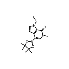 Cn1cc(B2OC(C)(C)C(C)(C)O2)c2ccn(SI)c2c1=O